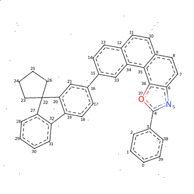 c1ccc(-c2nc3ccc4ccc5ccc(-c6ccc7c(c6)C6(CCCC6)c6ccccc6-7)cc5c4c3o2)cc1